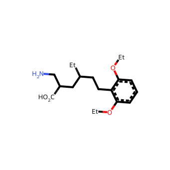 CCOc1cccc(OCC)c1CCC(CC)CC(CN)C(=O)O